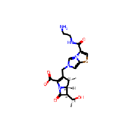 C[C@@H](O)[C@H]1C(=O)N2C(C(=O)[O-])=C(Cn3cc4scc(C(=O)NCCN)[n+]4c3)[C@H](C)[C@H]12